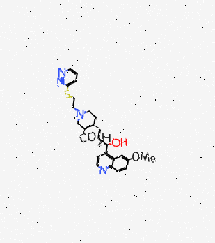 COc1ccc2nccc([C@H](O)CC[C@@H]3CCN(CCSc4cccnn4)C[C@@H]3C(=O)O)c2c1